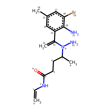 C=CNC(=O)CCC(C)N(N)C(=C)c1cc(C)cc(Br)c1N